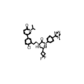 CC(C)n1cc(-c2ccc(Cl)c(CC[C@H](NC(=O)C3CC(F)(F)C3)C(=O)Nc3ccc(-c4nncn4C)cc3)c2)ccc1=O